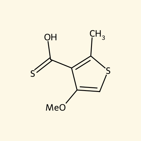 COc1csc(C)c1C(O)=S